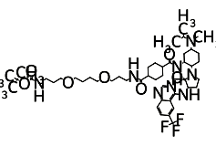 CC(C)N(C)[C@@H]1CC[C@H](N2CC[C@H](Nc3ncnc4ccc(C(F)(F)F)cc34)C2=O)[C@H](NC(=O)C2CCC(C(=O)NCCCOCCCCOCCCNC(=O)OC(C)(C)C)CC2)C1